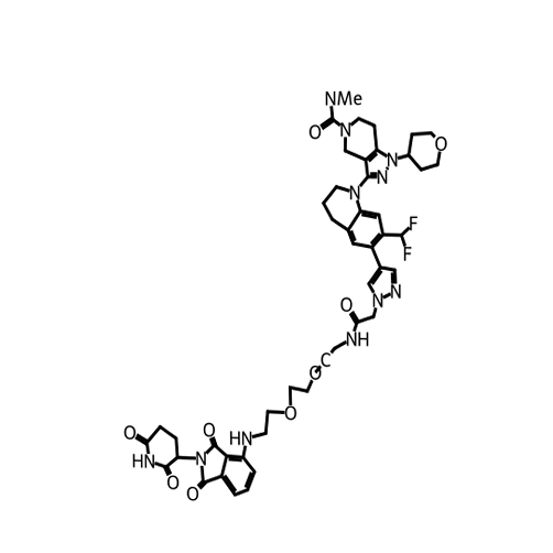 CNC(=O)N1CCc2c(c(N3CCCc4cc(-c5cnn(CC(=O)NCCOCCOCCNc6cccc7c6C(=O)N(C6CCC(=O)NC6=O)C7=O)c5)c(C(F)F)cc43)nn2C2CCOCC2)C1